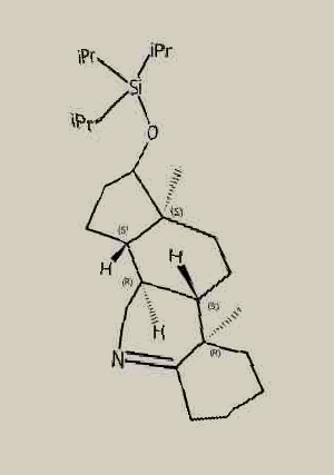 CC(C)[Si](OC1CC[C@H]2[C@@H]3CN=C4CCCC[C@]4(C)[C@H]3CC[C@]12C)(C(C)C)C(C)C